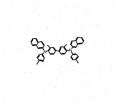 Cc1ccc(N(c2ccc3ccccc3c2)c2ccc(-c3ccc(N(c4ccc(C)cc4)c4ccc5ccccc5c4)c(C)c3)cc2C)cc1